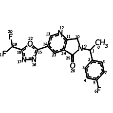 CC(c1ccc(F)cc1)N1Cc2ncc(-c3nnc(C(F)F)o3)cc2C1=O